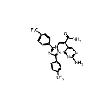 NC(=O)C(=Cn1nc(-c2ccc(C(F)(F)F)cc2)nc1-c1ccc(C(F)(F)F)cc1)c1cnc(N)nc1